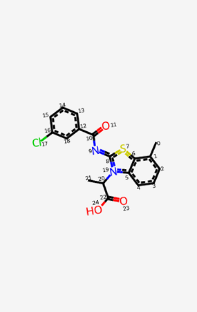 Cc1cccc2c1sc(=NC(=O)c1cccc(Cl)c1)n2C(C)C(=O)O